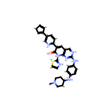 CN1CCC(Nc2ccc(Nc3ncc4cc(-c5ccc(C6=CCC=C6)cn5)c(=O)n(-c5nccs5)c4n3)cc2)CC1